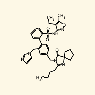 CCCCC1=NC2(CCCC2)C(=O)N1Cc1ccc(-c2ccccc2S(=O)(=O)Nc2noc(C)c2CC)c(Cn2ccnc2)c1